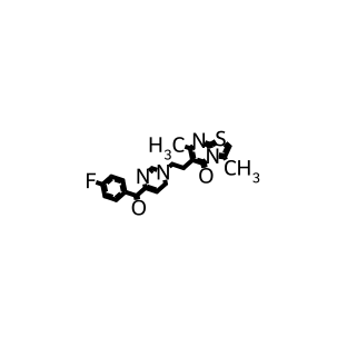 Cc1nc2scc(C)n2c(=O)c1CCN1C=NC(C(=O)c2ccc(F)cc2)=CC1